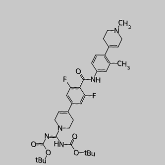 Cc1cc(NC(=O)c2c(F)cc(C3=CCN(C(=NC(=O)OC(C)(C)C)NC(=O)OC(C)(C)C)CC3)cc2F)ccc1C1=CCN(C)CC1